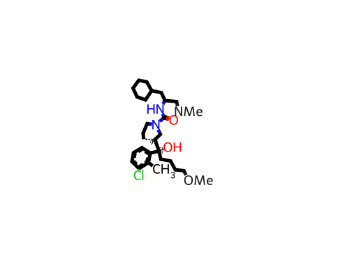 CNCC(CC1CCCCC1)NC(=O)N1CCC[C@@H]([C@@](O)(CCCCOC)c2cccc(Cl)c2C)C1